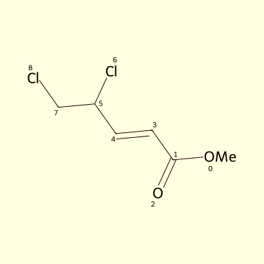 COC(=O)C=CC(Cl)CCl